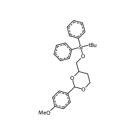 COc1ccc(C2OCCC(CO[Si](c3ccccc3)(c3ccccc3)C(C)(C)C)O2)cc1